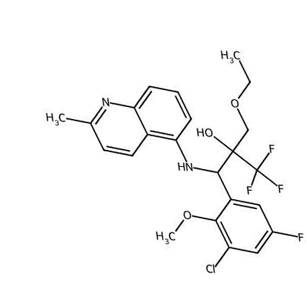 CCOCC(O)(C(Nc1cccc2nc(C)ccc12)c1cc(F)cc(Cl)c1OC)C(F)(F)F